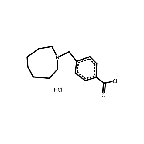 Cl.O=C(Cl)c1ccc(CN2CCCCCCC2)cc1